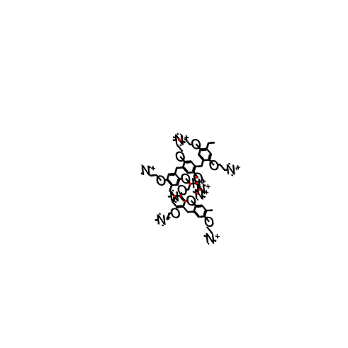 CCc1cc(OCC[N+](C)(C)C)c(Cc2cc(OCC[N+](C)(C)C)c(Cc3cc(OCC[N+](C)(C)C)c(Cc4cc(OCC[N+](C)(C)C)c(Cc5cc(OCC[N+](C)(C)C)c(C)cc5OCC[N+](C)(C)C)cc4OCC[N+](C)(C)C)cc3OCC[N+](C)(C)C)cc2OCC[N+](C)(C)C)cc1OCC[N+](C)(C)C